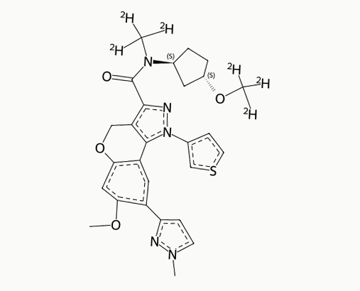 [2H]C([2H])([2H])O[C@H]1CC[C@H](N(C(=O)c2nn(-c3ccsc3)c3c2COc2cc(OC)c(-c4ccn(C)n4)cc2-3)C([2H])([2H])[2H])C1